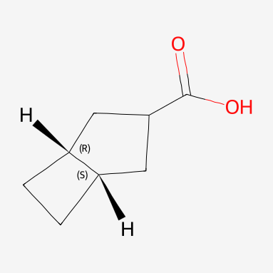 O=C(O)C1C[C@H]2CC[C@H]2C1